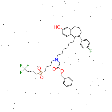 O=C(CN(CCCCCCC1=C(c2ccc(F)cc2)CCCc2cc(O)ccc21)CCCCS(=O)(=O)CCCC(F)(F)F)OCc1ccccc1